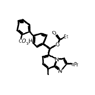 CCCc1cn2c(C(OC(=O)CC)c3ccc(-c4ccccc4C(=O)O)cc3)ccc(C)c2n1